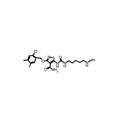 Cc1cc(Cl)c(COc2nsc(NC(=O)NCCCCCNC(C)C)c2C(N)=O)cc1F